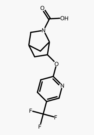 O=C(O)N1CC2CC(Oc3ccc(C(F)(F)F)cn3)C1C2